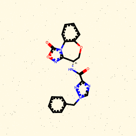 O=C(N[C@H]1COc2ccccc2-n2c1noc2=O)c1ncn(Cc2ccccc2)n1